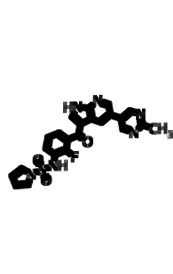 Cc1ncc(-c2cnc3[nH]cc(C(=O)c4cccc(NS(=O)(=O)n5cccc5)c4F)c3c2)cn1